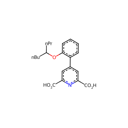 CCCCC(CCC)Oc1ccccc1-c1cc(C(=O)O)nc(C(=O)O)c1